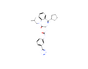 CC(C)CN1C(=O)[C@H](NC(=O)Nc2cccc(-c3nnn[nH]3)c2)N=C(C2CCCC2)c2ccccc21